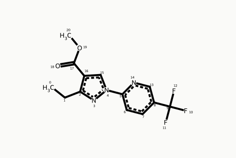 CCc1nn(-c2ccc(C(F)(F)F)cn2)cc1C(=O)OC